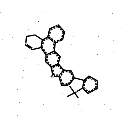 CC1(C)c2ccccc2-c2cc3c(cc21)[nH]c1cc2c4c(c5ccccc5c2cc13)CCC=C4